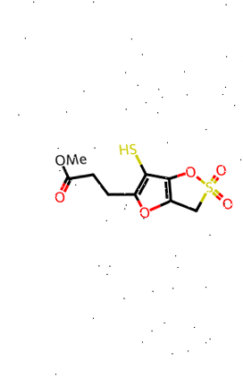 COC(=O)CCc1oc2c(c1S)OS(=O)(=O)C2